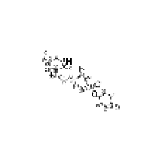 CC[C@H]1CC[C@@H]2CC(c3ccc(C(=O)Oc4ccc(C)cc4)cc3F)CC[C@H]2C1